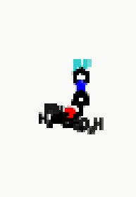 CC(C)(C)[Si](C)(C)OC(Cc1ccc(N2CCC(F)(F)CC2)cc1)C(=O)O